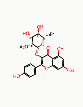 CCC[C@@H]1O[C@@H](Oc2c(-c3ccc(O)cc3)oc3cc(O)cc(O)c3c2=O)[C@H](OC(C)=O)[C@H](O)[C@H]1O